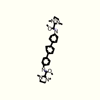 CO/C(=N\c1ccc(-c2ccc(-c3ccc(/N=C(\OC)C4=[N+](C)CCN4C)cc3)cc2)cc1)C1=[N+](C)CCN1C